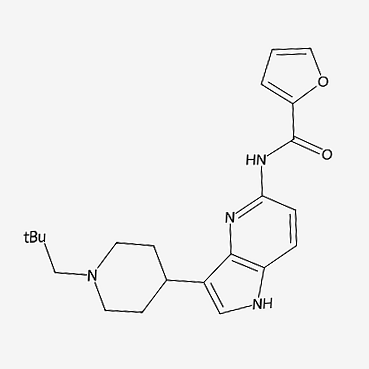 CC(C)(C)CN1CCC(c2c[nH]c3ccc(NC(=O)c4ccco4)nc23)CC1